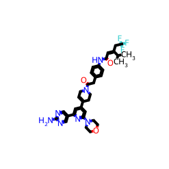 CC(C)/C(=C\C(=O)Nc1ccc(CC(=O)N2CC=C(c3cc(-c4cnc(N)nc4)nc(N4CCOCC4)c3)CC2)cc1)CC(F)(F)F